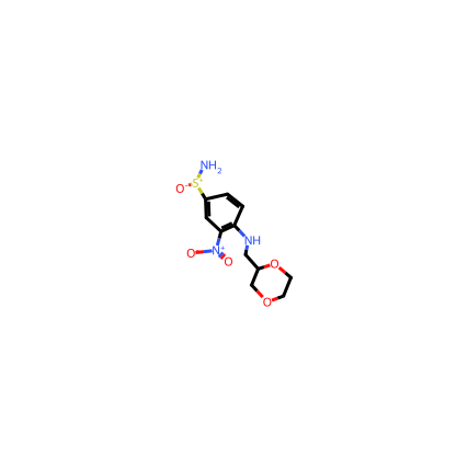 N[S+]([O-])c1ccc(NCC2COCCO2)c([N+](=O)[O-])c1